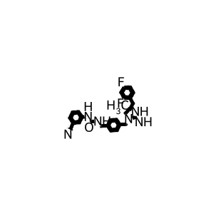 C[C@@]1(Cc2ccc(F)cc2F)CN(Cc2ccc(CNC(=O)Nc3cccc(C#N)c3)cc2)C(=N)N1